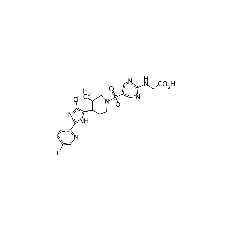 C[C@H]1CN(S(=O)(=O)c2cnc(NCC(=O)O)nc2)CC[C@H]1c1[nH]c(-c2ccc(F)cn2)nc1Cl